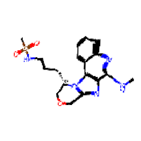 CNc1nc2ccccc2c2c1nc1n2[C@@H](CCCNS(C)(=O)=O)COC1